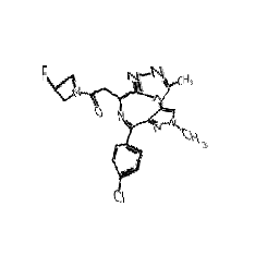 Cc1nnc2n1-c1cn(C)nc1C(c1ccc(Cl)cc1)=NC2CC(=O)N1CC(F)C1